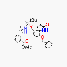 COC(=O)c1cccc(CC(C)(C)NC[C@H](O[Si](C)(C)C(C)(C)C)c2ccc(OCc3ccccc3)c3[nH]c(=O)ccc23)c1